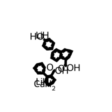 O=C(O)c1cccc2ccccc12.O=C(O)c1ccccc1-c1ccccc1.Oc1ccccc1.[CaH2].[LiH].[LiH]